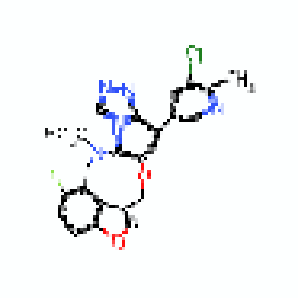 Cc1ncc(-c2cc3c(n4cnnc24)N(C(=O)O)Cc2c(F)ccc4c2[C@@H](CO4)CO3)cc1Cl